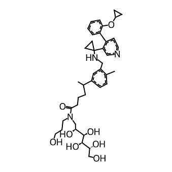 Cc1ccc(C(C)CCCC(=O)N(CCCO)C[C@H](O)[C@@H](O)[C@H](O)[C@H](O)CO)cc1CNC1(c2cnccc2-c2ccccc2OC2CC2)CC1